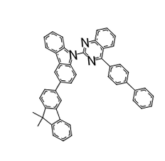 CC1(C)c2ccccc2-c2cc(-c3ccc4c(c3)c3ccccc3n4-c3nc(-c4ccc(-c5ccccc5)cc4)c4ccccc4n3)ccc21